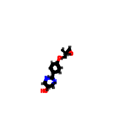 C[C@@]1(COc2ccc(-c3ncc(O)cn3)cc2)CO1